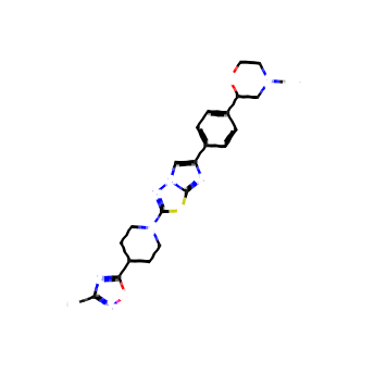 CC(C)c1noc(C2CCN(c3nn4cc(-c5ccc(C6CN(C=O)CCO6)cc5)nc4s3)CC2)n1